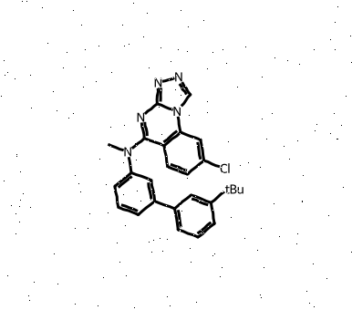 CN(c1cccc(-c2cccc(C(C)(C)C)c2)c1)c1nc2nncn2c2cc(Cl)ccc12